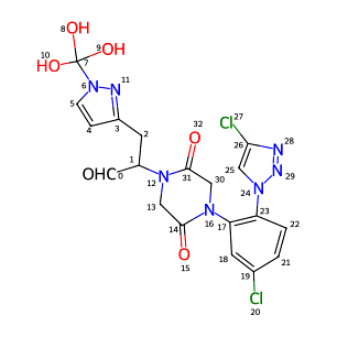 O=CC(Cc1ccn(C(O)(O)O)n1)N1CC(=O)N(c2cc(Cl)ccc2-n2cc(Cl)nn2)CC1=O